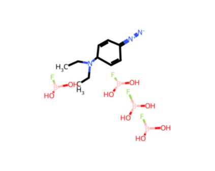 CCN(CC)C1C=CC(=[N+]=[N-])C=C1.OB(O)F.OB(O)F.OB(O)F.OB(O)F